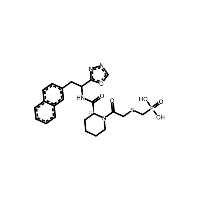 O=C(NC(Cc1ccc2ccccc2c1)c1nnco1)[C@@H]1CCCCN1C(=O)CSCP(=O)(O)O